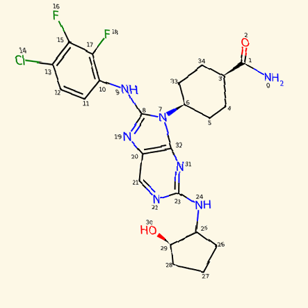 NC(=O)[C@H]1CC[C@@H](n2c(Nc3ccc(Cl)c(F)c3F)nc3cnc(NC4CCC[C@H]4O)nc32)CC1